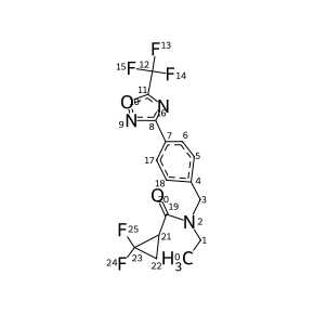 CCN(Cc1ccc(-c2noc(C(F)(F)F)n2)cc1)C(=O)C1CC1(F)F